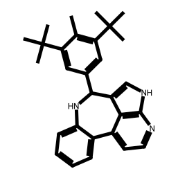 Cc1c(C(C)(C)C)cc(C2Nc3ccccc3-c3ccnc4[nH]cc2c34)cc1C(C)(C)C